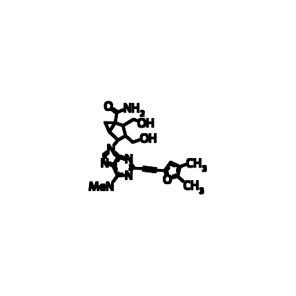 CNc1nc(C#Cc2cc(C)c(C)o2)nc2c1ncn2C1C(CO)C(CO)C2(C(N)=O)CC12